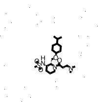 CC(C)C1CCC(OC[C@H]2[C@@H](NS(C)(=O)=O)CCCN2C(=O)CCN(C)C)CC1